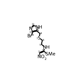 CSC(=C[N+](=O)[O-])NCCSCc1[nH]cnc1Br